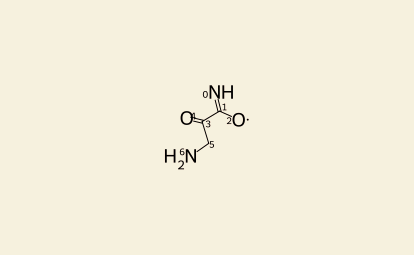 N=C([O])C(=O)CN